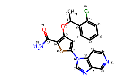 CC(Oc1cc(-n2cnc3cnccc32)sc1C(N)=O)c1ccccc1Cl